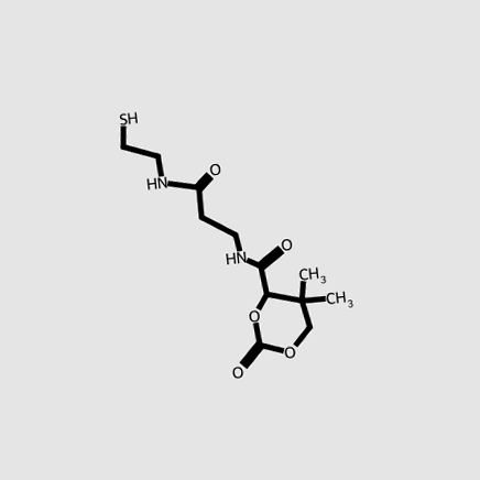 CC1(C)COC(=O)OC1C(=O)NCCC(=O)NCCS